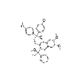 CCC1(OC)c2ccccc2-c2c1c1c(c3cc(OC)c(OC)cc23)OC(c2ccc(OC)cc2)(c2ccc(OC)cc2)C=C1